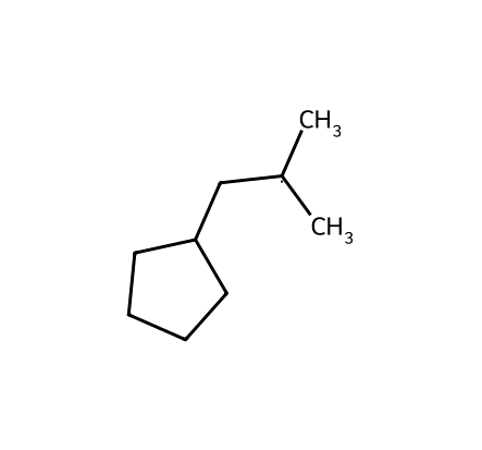 C[C](C)CC1CCCC1